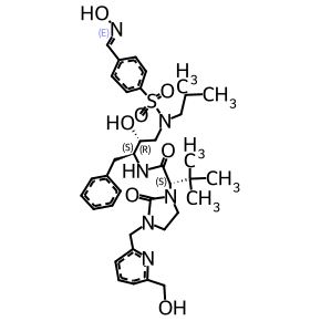 CC(C)CN(C[C@@H](O)[C@H](Cc1ccccc1)NC(=O)[C@@H](N1CCN(Cc2cccc(CO)n2)C1=O)C(C)(C)C)S(=O)(=O)c1ccc(/C=N/O)cc1